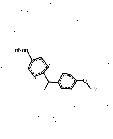 CCCCCCCCCc1ccc(C(C)c2ccc(OCCC)cc2)nc1